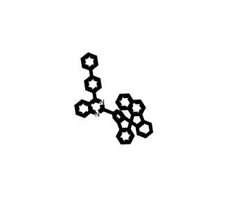 C1=CC2=C(CC1)c1ccc3ccccc3c1C21c2ccccc2-c2cc(-c3nc(-c4ccc(-c5ccccc5)cc4)c4ccccc4n3)ccc21